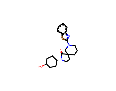 O=C1N([C@H]2CC[C@H](O)CC2)CCC12CCCN(c1nc3ccccc3s1)C2